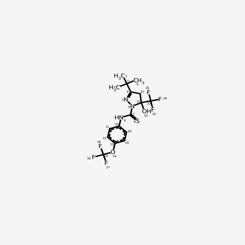 CC(C)(C)C1=NN(C(=S)Nc2ccc(OC(F)(F)F)cc2)C(O)(C(F)(F)F)C1